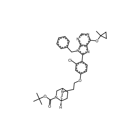 CC(C)(C)OC(=O)N1CC2CC[C@H]1CN2CCOc1ccc(-c2nc3c(OC4(C)CC4)ncnc3n2Cc2ccccc2)c(Cl)c1